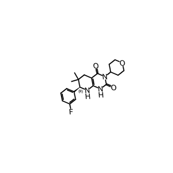 CC1(C)Cc2c([nH]c(=O)n(C3CCOCC3)c2=O)N[C@H]1c1cccc(F)c1